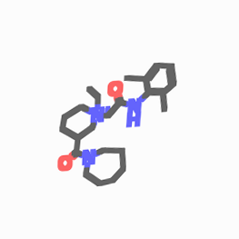 CC[N+]1(CC(=O)Nc2c(C)cccc2C)CCCC(C(=O)N2CCCCCC2)C1